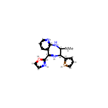 CNC1Nc2ncccc2C(c2ncco2)=NC1c1cccs1